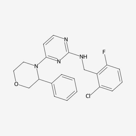 Fc1cccc(Cl)c1CNc1nccc(N2CCOCC2c2ccccc2)n1